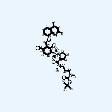 Cc1cc(C)c2cccc(OCc3c(Cl)ccc(S(=O)(=O)N4CCC[C@H]4C(=O)N(C)CCCN(C)C(=O)OC(C)(C)C)c3Cl)c2n1